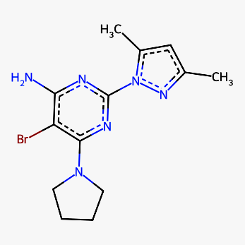 Cc1cc(C)n(-c2nc(N)c(Br)c(N3CCCC3)n2)n1